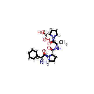 C[C@H](NC(=O)[C@@H]1CCCN1C(=O)[C@@H](N)C1CCCCC1)C(=O)N1CCC[C@H]1B(O)O